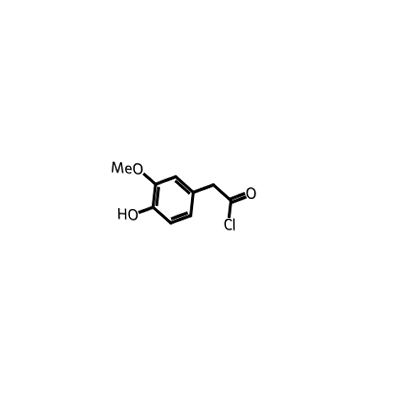 COc1cc(CC(=O)Cl)ccc1O